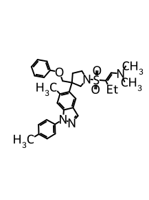 CC/C(=C\N(C)C)S(=O)(=O)N1CCC(COc2ccccc2)(c2cc3cnn(-c4ccc(C)cc4)c3cc2C)C1